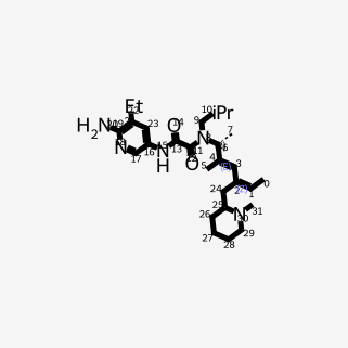 C/C=C(\C=C(/C)[C@@H](C)N(CC(C)C)C(=O)C(=O)Nc1cnc(N)c(CC)c1)CC1CCCCN1C